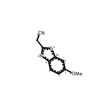 COc1ccc2nc(CC#N)sc2c1